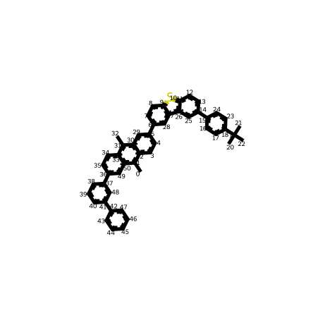 Cc1c2ccc(-c3ccc4sc5ccc(-c6ccc(C(C)(C)C)cc6)cc5c4c3)cc2c(C)c2ccc(-c3cccc(-c4ccccc4)c3)cc12